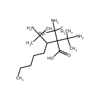 CCCCCC(C(C)(C)N)C(C(=O)O)(C(C)(C)N)C(C)(C)N